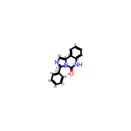 O=c1[nH]c2ccccc2c2cnc(-c3ccccc3)n12